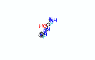 CN(c1cnc(-c2cc(F)c(-c3ccn[nH]3)cc2O)cn1)[C@@H]1C[C@@]2(C)CCC[C@](C)(N2)[C@@H]1F